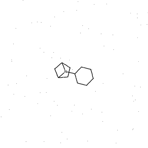 [CH]1CCCC(N2C3CCC2C3)C1